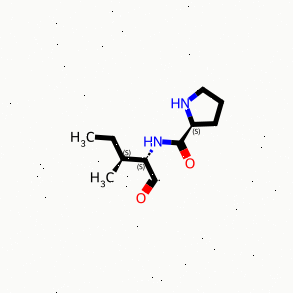 CC[C@H](C)[C@@H]([C]=O)NC(=O)[C@@H]1CCCN1